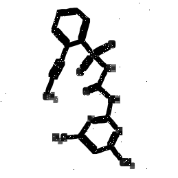 CC#Cc1ccccc1S(=O)(=O)NC(=O)Nc1nc(C)cc(C)n1